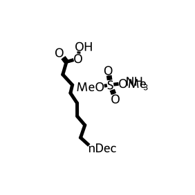 CCCCCCCCCCCCCCCCCC(=O)OO.COS(=O)(=O)OC.N